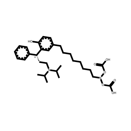 CC(C)N(CC[C@H](c1ccccc1)c1cc(CCCCCCCCN(OC(=O)O)OC(=O)O)ccc1O)C(C)C